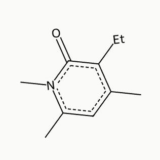 CCc1c(C)cc(C)n(C)c1=O